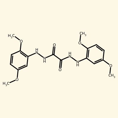 COc1ccc(OC)c(NNC(=O)C(=O)NNc2cc(OC)ccc2OC)c1